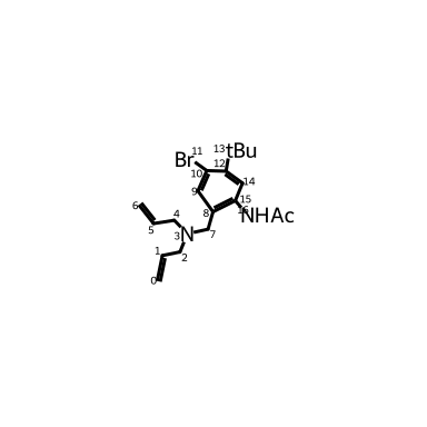 C=CCN(CC=C)Cc1cc(Br)c(C(C)(C)C)cc1NC(C)=O